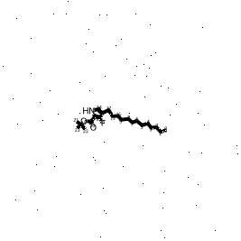 CCCCCCCCCCCCCc1c[nH]c(C(=O)OC(C)(C)C)c1F